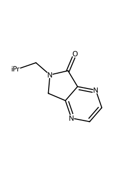 CC(C)CN1Cc2nccnc2C1=O